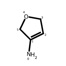 NC1=CCOC1